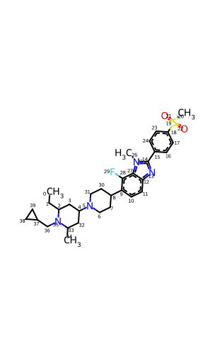 CCC1CC(N2CCC(c3ccc4nc(-c5ccc(S(C)(=O)=O)cc5)n(C)c4c3F)CC2)CC(C)N1CC1CC1